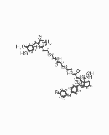 Cc1cc(CC(NC(=O)CCOCCNC(=O)CCOCCNC(=O)CCN(C2(C(=O)NO)CCCC2)S(=O)(=O)c2ccc(Oc3ccc(F)cc3)cc2)C(N)=O)ccc1O